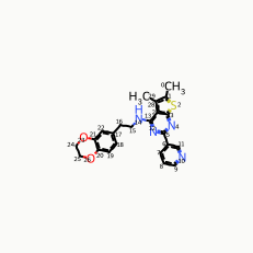 Cc1sc2nc(-c3cccnc3)nc(NCCc3ccc4c(c3)OCCO4)c2c1C